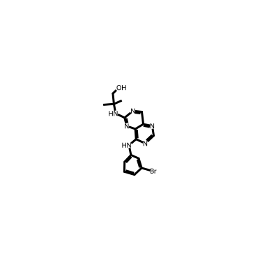 CC(C)(CO)Nc1ncc2ncnc(Nc3cccc(Br)c3)c2n1